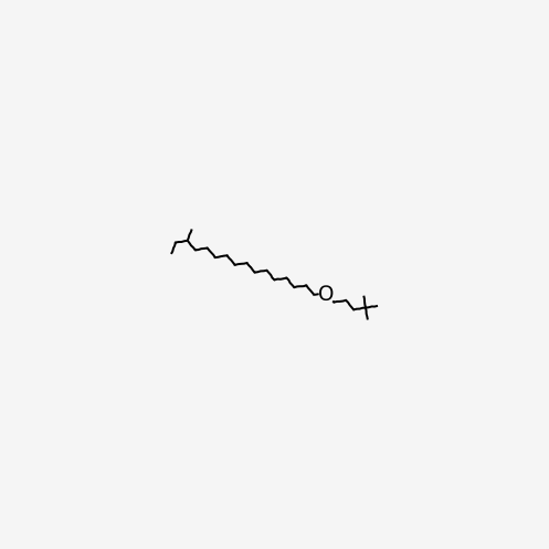 CCC(C)CCCCCCCCCCCCCOCCCC(C)(C)C